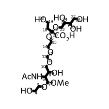 CO[C@H](OCCO)C(NC(C)=O)C(O)COCOCCO[C@](CCO)(OC[C@H](O)[C@H](O)CO)C(=O)O